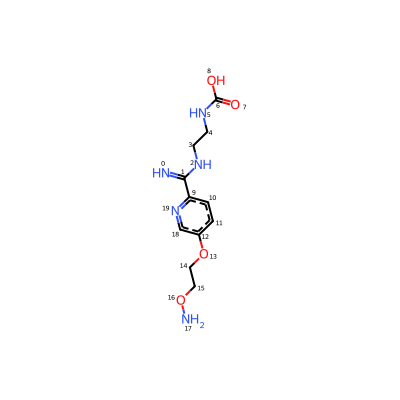 N=C(NCCNC(=O)O)c1ccc(OCCON)cn1